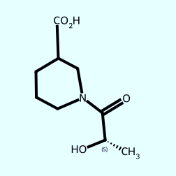 C[C@H](O)C(=O)N1CCCC(C(=O)O)C1